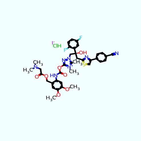 COc1cc(COC(=O)CN(C)C)c(NC(=O)Oc2nn(C[C@](O)(c3cc(F)ccc3F)[C@@H](C)c3nc(-c4ccc(C#N)cc4)cs3)c[n+]2C)cc1OC.Cl.[I-]